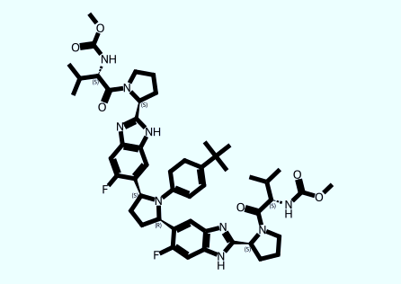 COC(=O)N[C@H](C(=O)N1CCC[C@H]1c1nc2cc([C@H]3CC[C@@H](c4cc5[nH]c([C@@H]6CCCN6C(=O)[C@@H](NC(=O)OC)C(C)C)nc5cc4F)N3C3=CC=C(C(C)(C)C)CC3)c(F)cc2[nH]1)C(C)C